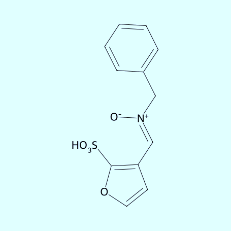 O=S(=O)(O)c1occc1C=[N+]([O-])Cc1ccccc1